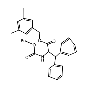 Cc1cc(C)cc(COC(=O)C(NC(=O)OC(C)(C)C)C(c2ccccc2)c2ccccc2)c1